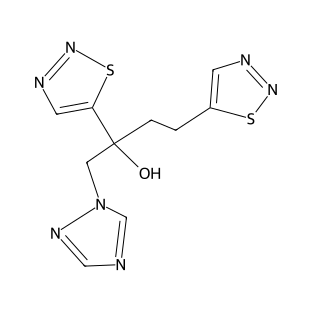 OC(CCc1cnns1)(Cn1cncn1)c1cnns1